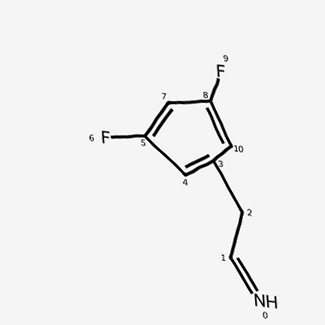 N=CCc1cc(F)cc(F)c1